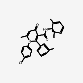 Cc1cccc(-c2c(C(=O)Nc3c(C)cccc3C)c(=O)cc(C)n2-c2ccc(Cl)cc2)c1